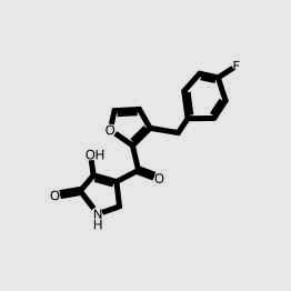 O=C1NCC(C(=O)c2occc2Cc2ccc(F)cc2)=C1O